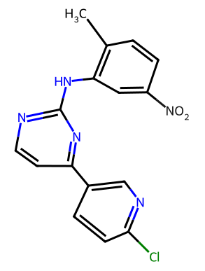 Cc1ccc([N+](=O)[O-])cc1Nc1nccc(-c2ccc(Cl)nc2)n1